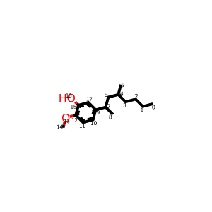 CCCCC(C)CC(C)c1ccc(OC)c(O)c1